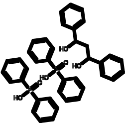 O=P(O)(c1ccccc1)c1ccccc1.O=P(O)(c1ccccc1)c1ccccc1.OC(CC(O)c1ccccc1)c1ccccc1